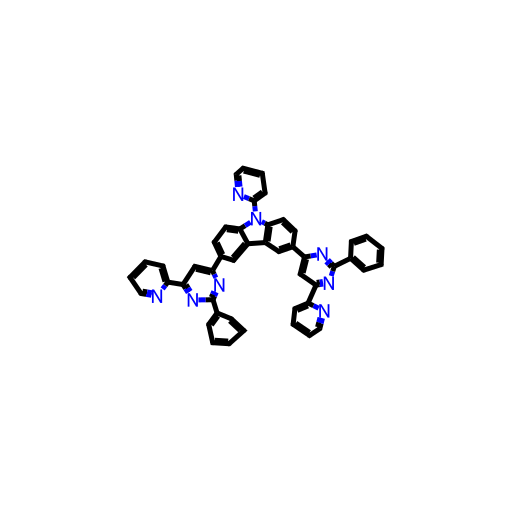 c1ccc(-c2nc(-c3ccc4c(c3)c3cc(-c5cc(-c6ccccn6)nc(-c6ccccc6)n5)ccc3n4-c3ccccn3)cc(-c3ccccn3)n2)cc1